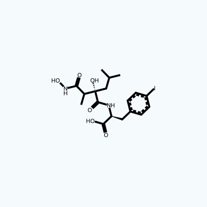 CC(C)C[C@@](O)(C(=O)N[C@@H](Cc1ccc(I)cc1)C(=O)O)C(C)C(=O)NO